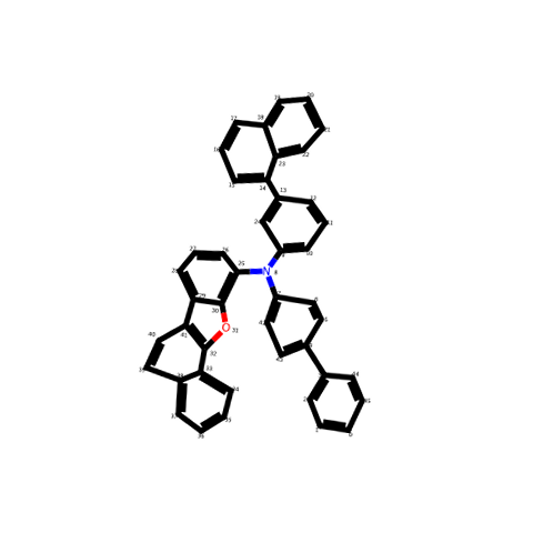 c1ccc(-c2ccc(N(c3cccc(-c4cccc5ccccc45)c3)c3cccc4c3oc3c5ccccc5ccc43)cc2)cc1